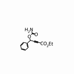 CCOC(=O)C#CC(OC(N)=O)c1ccccc1